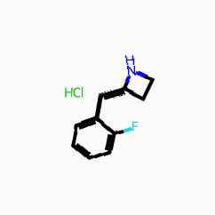 Cl.Fc1ccccc1C=C1CCN1